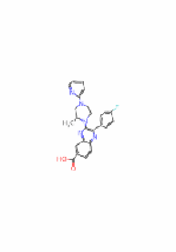 C[C@H]1CN(c2ccccn2)CCN1c1nc2cc(C(=O)O)ccc2nc1-c1ccc(F)cc1